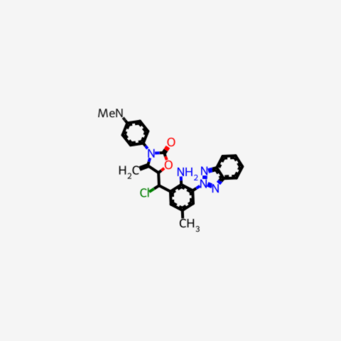 C=C1C(C(Cl)c2cc(C)cc(-n3nc4ccccc4n3)c2N)OC(=O)N1c1ccc(NC)cc1